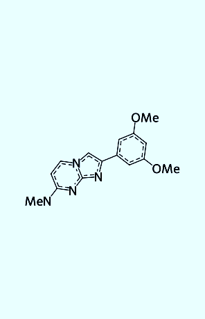 CNc1ccn2cc(-c3cc(OC)cc(OC)c3)nc2n1